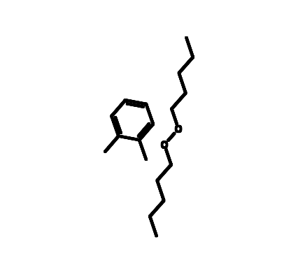 CCCCCOOCCCCC.Cc1ccccc1C